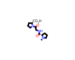 CN1CCC[C@H]1C(=O)NCC(=O)N1CCC[C@H]1C(=O)O